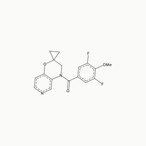 COc1c(F)cc(C(=O)N2CC3(CC3)Oc3ccncc32)cc1F